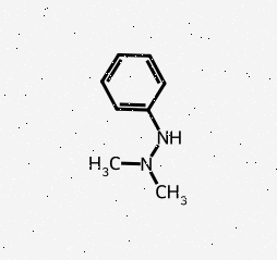 CN(C)Nc1ccccc1